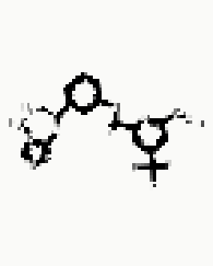 COc1cc(C(F)(F)F)cc(C(=O)Nc2cccc([C@H](C)Sc3nncn3C)c2)n1